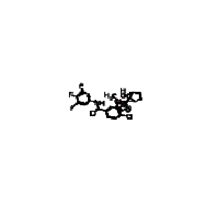 Cn1ccnc1[C@@]1(O)C2CCC1C(S(=O)(=O)c1cc(C(=O)Nc3cc(F)c(F)c(F)c3)ccc1Cl)C2